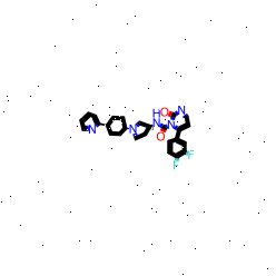 O=C(N[C@@H]1CCN([C@H]2CC[C@H](c3ccccn3)CC2)C1)n1c(-c2ccc(F)c(F)c2)ccnc1=O